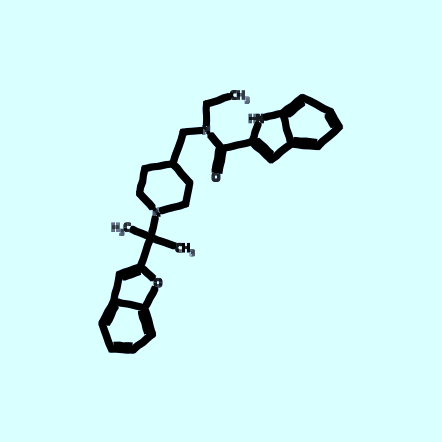 CCN(CC1CCN(C(C)(C)c2cc3ccccc3o2)CC1)C(=O)c1cc2ccccc2[nH]1